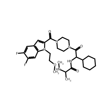 CNC(C)C(=O)NC(C(=O)N1CCN(C(=O)c2cc3cc(F)c(F)cc3n2CCOC)CC1)C1CCCCC1